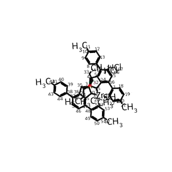 CCCC1=Cc2c(-c3ccc(C)cc3)ccc(-c3ccc(C)cc3)c2[CH]1[Zr]([CH3])([CH3])(=[SiH2])[CH]1C(CCC)=Cc2c(-c3ccc(C)cc3)ccc(-c3ccc(C)cc3)c21.Cl.Cl